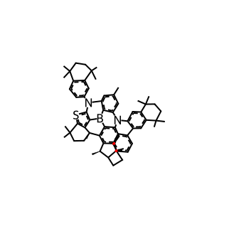 Cc1cc2c3c(c1)N(c1ccc4c(c1)C(C)(C)CCC4(C)C)c1sc4c5c1B3c1c(cc3c(c1[C@]5(C)CCC4(C)C)[C@H](C)C1CCC31C)N2c1cc2c(cc1-c1ccccc1)C(C)(C)CCC2(C)C